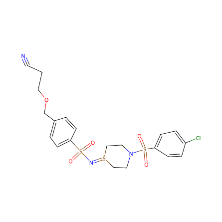 N#CCCOCc1ccc(S(=O)(=O)N=S2CCN(S(=O)(=O)c3ccc(Cl)cc3)CC2)cc1